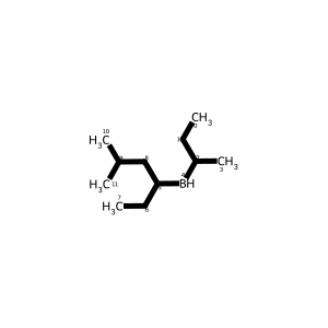 CCC(C)BC(CC)CC(C)C